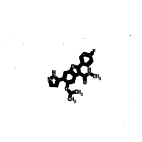 CNC(=O)c1c(-c2ccc(F)cc2)oc2cc(-c3ccn[nH]3)c(OC(C)C)cc12